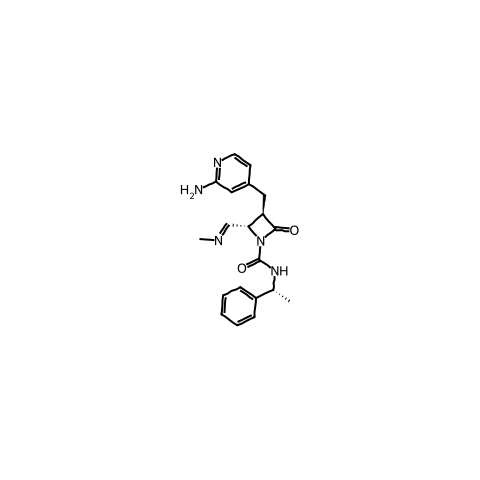 C/N=C/[C@@H]1[C@@H](Cc2ccnc(N)c2)C(=O)N1C(=O)N[C@H](C)c1ccccc1